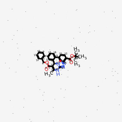 CC1=C(C(=O)OCc2ccccc2)C(c2ccccc2-c2ccc(C(=O)OC(C)(C)C)cc2)n2nnnc2N1